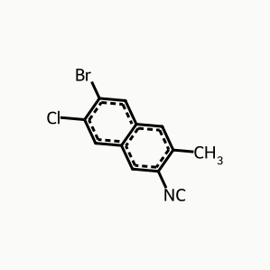 [C-]#[N+]c1cc2cc(Cl)c(Br)cc2cc1C